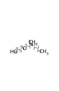 CCCCCN(C)CCOCCCO